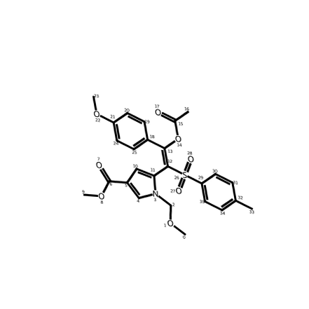 COCn1cc(C(=O)OC)cc1/C(=C(/OC(C)=O)c1ccc(OC)cc1)S(=O)(=O)c1ccc(C)cc1